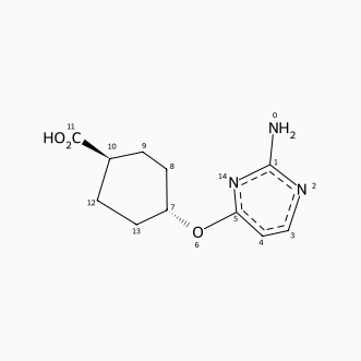 Nc1nccc(O[C@H]2CC[C@H](C(=O)O)CC2)n1